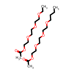 CCCCOCCOCCOCCOC(C)=O.CCOCCOCCOCCOC(C)=O